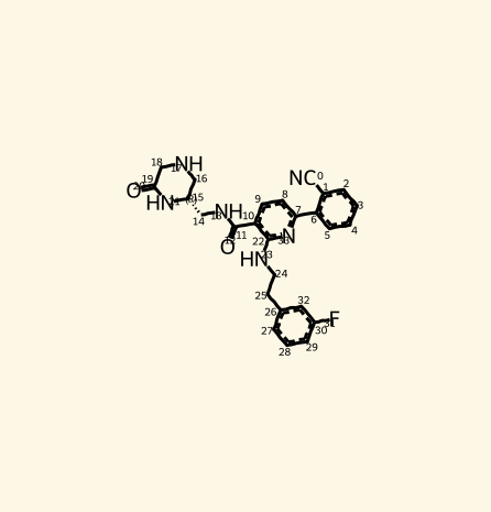 N#Cc1ccccc1-c1ccc(C(=O)NC[C@H]2CNCC(=O)N2)c(NCCc2cccc(F)c2)n1